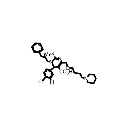 CSC1=NC(COCCCCN2CCCCC2)=C(C(=O)O)C(c2ccc(Cl)c(Cl)c2)N1CCCc1ccccc1